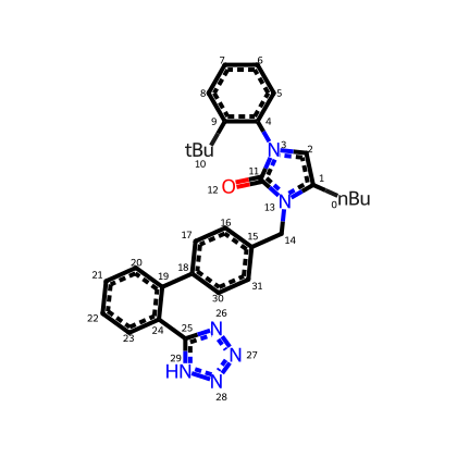 CCCCc1cn(-c2ccccc2C(C)(C)C)c(=O)n1Cc1ccc(-c2ccccc2-c2nnn[nH]2)cc1